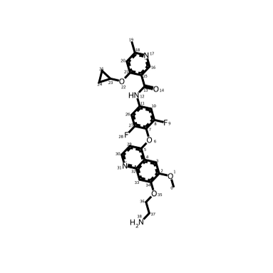 COc1cc2c(Oc3c(F)cc(NC(=O)c4cnc(C)cc4OC4CC4)cc3F)ccnc2cc1OCCN